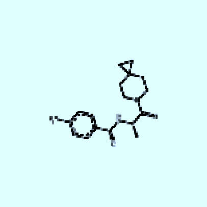 C[C@@H](NC(=O)c1ccc(C(F)(F)F)cc1)C(=O)N1CCC2(CC1)CC2